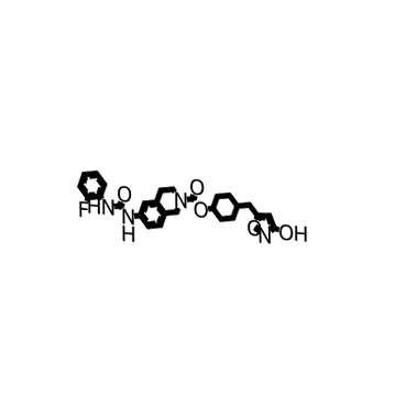 O=C(Nc1ccc2c(c1)CCN(C(=O)OC1CCC(Cc3cc(O)no3)CC1)C2)Nc1ccccc1F